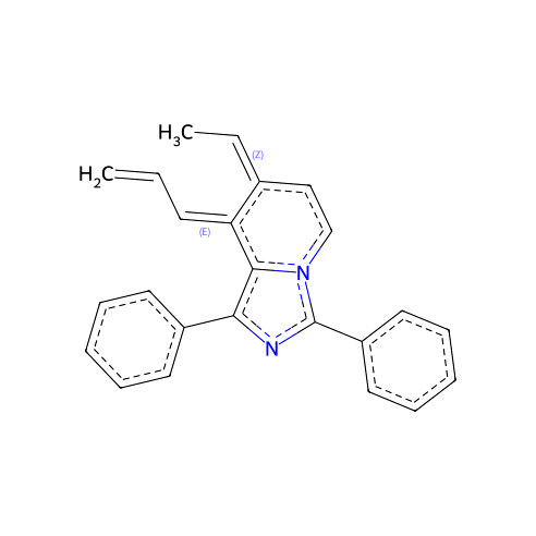 C=C/C=c1\c(=C/C)ccn2c(-c3ccccc3)nc(-c3ccccc3)c12